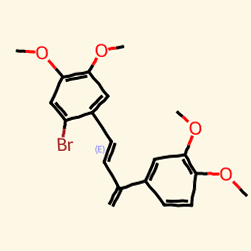 C=C(/C=C/c1cc(OC)c(OC)cc1Br)c1ccc(OC)c(OC)c1